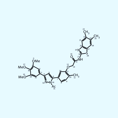 COc1cc(-c2cc(-c3ccc(C)c(OCC(=O)Nc4nc5cc(C)c(C)cc5s4)c3)n(C(C)=O)n2)cc(OC)c1OC